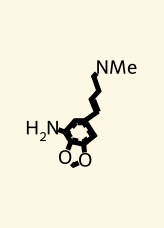 CNCC/C=C/c1cc(N)c2c(c1)OCO2